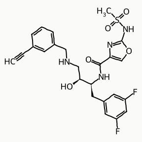 C#Cc1cccc(CNC[C@H](O)[C@H](Cc2cc(F)cc(F)c2)NC(=O)c2coc(NS(C)(=O)=O)n2)c1